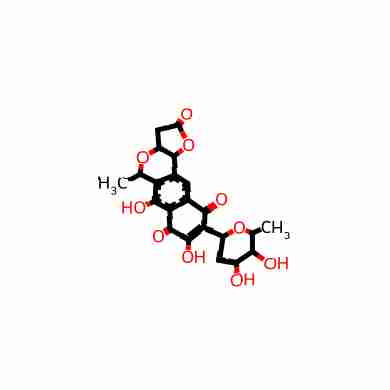 CC1OC2CC(=O)OC2c2cc3c(c(O)c21)C(=O)C(O)=C(C1CC(O)C(O)C(C)O1)C3=O